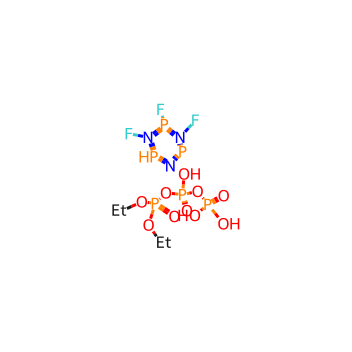 CCOP(=O)(OCC)OP(=O)(O)OP(=O)(O)O.Fn1pn[pH]n(F)p1F